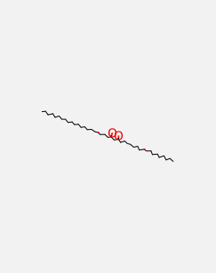 CCCCCCCCCCCCCCCCCCCCCC(=O)CC(=O)CCCCCCCCCCCCCCCCC